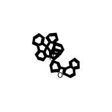 c1ccc(N(c2ccc3oc4ccc5ccccc5c4c3c2)c2cccc3c2C2(c4ccccc4-c4ccccc42)c2ccccc2-3)cc1